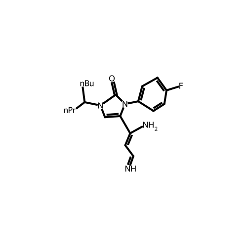 CCCCC(CCC)n1cc(/C(N)=C/C=N)n(-c2ccc(F)cc2)c1=O